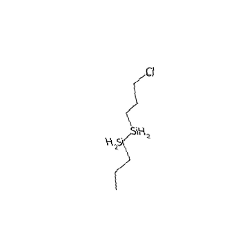 CCC[SiH2][SiH2]CCCCl